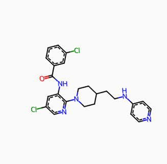 O=C(Nc1cc(Cl)cnc1N1CCC(CCNc2ccncc2)CC1)c1cccc(Cl)c1